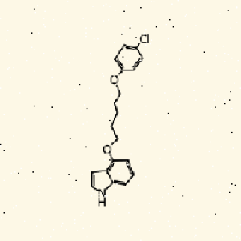 Clc1ccc(OCCCCCOc2cccc3[nH]ccc23)cc1